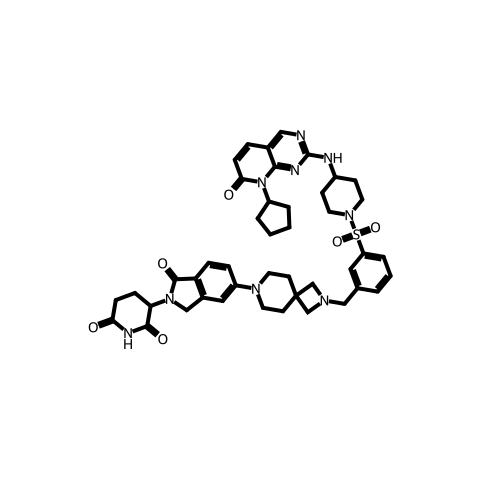 O=C1CCC(N2Cc3cc(N4CCC5(CC4)CN(Cc4cccc(S(=O)(=O)N6CCC(Nc7ncc8ccc(=O)n(C9CCCC9)c8n7)CC6)c4)C5)ccc3C2=O)C(=O)N1